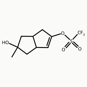 CC1(O)CC2C=C(OS(=O)(=O)C(F)(F)F)CC2C1